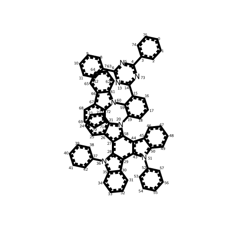 c1ccc(-c2nc(-c3ccccc3)nc(-c3cccc(-n4c5ccccc5c5c6c(c7ccccc7n6-c6ccccc6)c6c(c7ccccc7n6-c6ccccc6)c54)c3-n3c4ccccc4c4ccccc43)n2)cc1